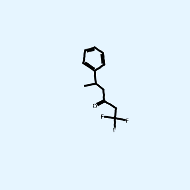 CC(CC(=O)CC(F)(F)F)c1ccccc1